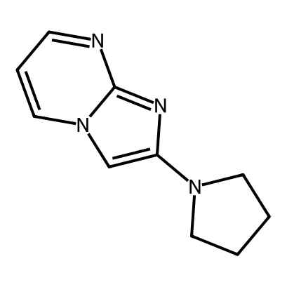 c1cnc2nc(N3CCCC3)cn2c1